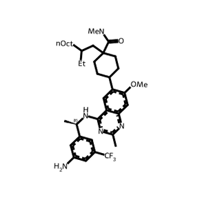 CCCCCCCCC(CC)CC1(C(=O)NC)CCC(c2cc3c(N[C@H](C)c4cc(N)cc(C(F)(F)F)c4)nc(C)nc3cc2OC)CC1